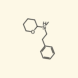 C[SiH](CCc1ccccc1)C1CCCCO1